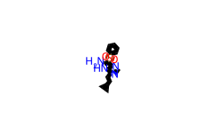 Nc1[nH]c2c(CCC3CC3)ncnc2c1S(=O)(=O)c1ccccc1